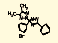 Cc1nn([N+]2(c3ccccc3)N=NC(c3ccccc3)=N2)nc1C.[Br-]